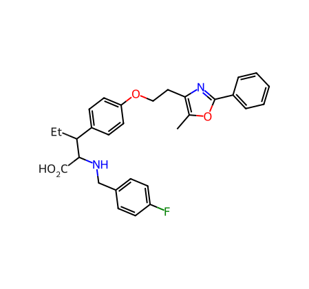 CCC(c1ccc(OCCc2nc(-c3ccccc3)oc2C)cc1)C(NCc1ccc(F)cc1)C(=O)O